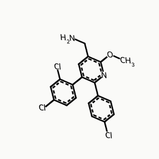 COc1nc(-c2ccc(Cl)cc2)c(-c2ccc(Cl)cc2Cl)cc1CN